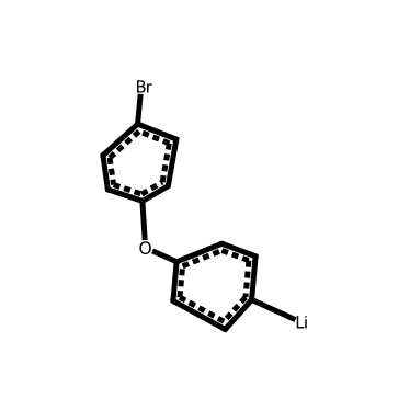 [Li][c]1ccc(Oc2ccc(Br)cc2)cc1